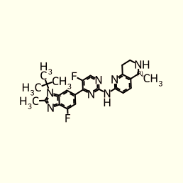 Cc1nc2c(F)cc(-c3nc(Nc4ccc5c(n4)CCN[C@@H]5C)ncc3F)cc2n1C(C)(C)C